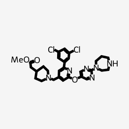 COC(=O)CC1CCN(Cc2cc(Oc3cnc(N4CCCNCC4)nc3)nc(-c3cc(Cl)cc(Cl)c3)c2)CC1